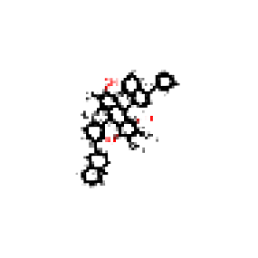 Bc1c(O)c(B)c2c(-c3ccc(-c4ccccc4)c4ccccc34)c3c(O)c(B)c(B)c(O)c3c(-c3cccc(C4=CCC5(C)C=CC=CC5=C4)c3)c2c1B